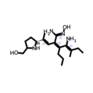 CCCC(/C(N)=C(\C)CC)=C(\C=C(/C)[C@H]1CCC(CO)N1)C(/N)=N/O